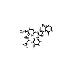 O=[N+]([O-])c1ccc(-c2[nH]c(-c3c(F)cccc3F)nc2-c2ccc(F)cc2)nc1NCC1CC1